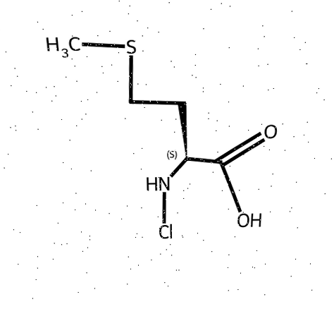 CSCC[C@H](NCl)C(=O)O